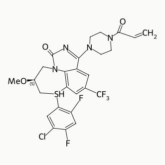 C=CC(=O)N1CCN(c2nc(=O)n3c4c(cc(C(F)(F)F)cc24)[SH](c2cc(Cl)c(F)cc2F)C[C@@H](OC)C3)CC1